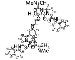 CN[C@@H](C)C(=O)NC(C(=O)N1CCC[C@H]1C(=O)N[C@@H]1CCCc2ccccc21)[C@@H](C)OCC=Nc1ccc([C@H](NC(=O)[C@H](C)NC)C(=O)N2CCC[C@H]2C(=O)N[C@@H]2CCCc3ccccc32)cc1